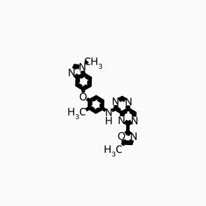 Cc1cnc(-c2ncc3ncnc(Nc4ccc(Oc5ccc6c(c5)ncn6C)c(C)c4)c3n2)o1